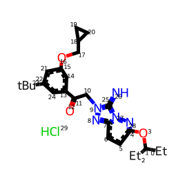 CCC(CC)Oc1ccc2nn(CC(=O)c3cc(OCC4CC4)cc(C(C)(C)C)c3)c(=N)n2n1.Cl